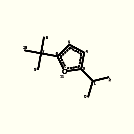 CC(C)c1ccc(C(C)(C)C)o1